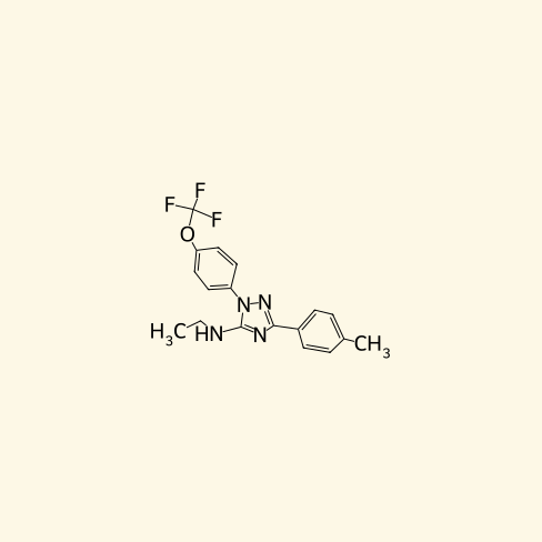 CCNc1nc(-c2ccc(C)cc2)nn1-c1ccc(OC(F)(F)F)cc1